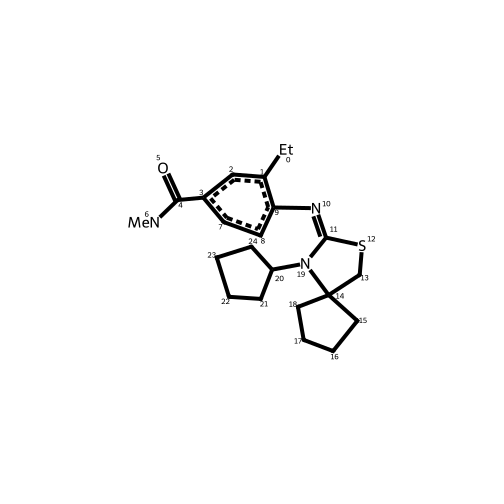 CCc1cc(C(=O)NC)ccc1/N=C1/SCC2(CCCC2)N1C1CCCC1